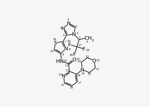 CC(n1cnnc1-c1nc(NC(=O)c2ncccc2N2CCOCC2)cs1)C(F)(F)F